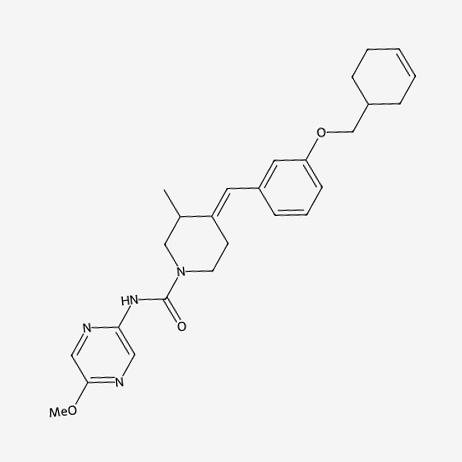 COc1cnc(NC(=O)N2CC/C(=C\c3cccc(OCC4CC=CCC4)c3)C(C)C2)cn1